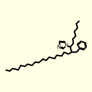 CCCCCCCCCCCCCCCCCCC(Cc1ccccc1)C(CCCCCCC)n1ccnc1